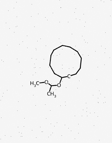 COC(C)OC1CCCCCCCCCCC1